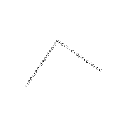 [K+].[K+].[K+].[K+].[K+].[K+].[K+].[K+].[K+].[K+].[K+].[K+].[K+].[K+].[K+].[K+].[K+].[K+].[K+].[K+].[K+].[K+].[K+].[K+].[K+].[K+].[K+].[K+].[K+].[K+].[K+].[K+].[K+].[K+].[K+].[K+]